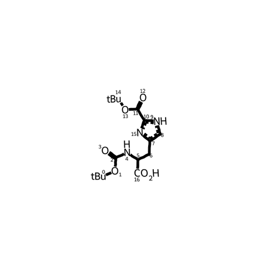 CC(C)(C)OC(=O)NC(Cc1c[nH]c(C(=O)OC(C)(C)C)n1)C(=O)O